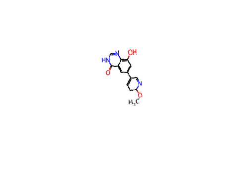 COC1CC=C(c2cc(O)c3nc[nH]c(=O)c3c2)C=N1